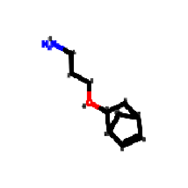 NCCCOC1CC2C=CC1C2